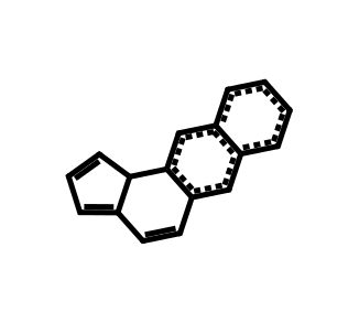 C1=CC2C(=C1)C=Cc1cc3ccccc3cc12